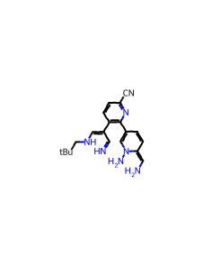 CC(C)(C)CN/C=C(\C=N)c1ccc(C#N)nc1C1=CN(N)/C(=C\N)C=C1